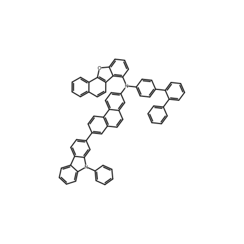 c1ccc(-c2ccccc2-c2ccc(N(c3ccc4c(ccc5cc(-c6ccc7c8ccccc8n(-c8ccccc8)c7c6)ccc54)c3)c3cccc4oc5c6ccccc6ccc5c34)cc2)cc1